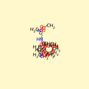 C=CCCOC(=O)c1cn(CC)c2ccc(CCCNCCC(=O)O[C@@H]3[C@H](C)O[C@H](O[C@@H]4[C@@H](C)[C@H](O[C@@H]5O[C@H](C)C[C@H](N(C)C)[C@@H]5O)[C@](C)(OC)C[C@H](C)C(=O)[C@H](C)[C@@H](O)[C@](C)(O)[C@H](CC)OC(=O)[C@@H]4C)C[C@]3(C)OC)cc2c1=O